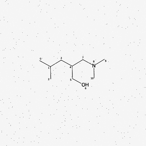 CC(C)CC(CO)CN(C)C